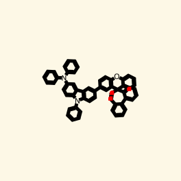 c1ccc(N(c2ccccc2)c2ccc3c(c2)c2cc(-c4ccc5c(c4)C4(c6ccccc6O5)c5ccccc5-c5ccccc5-c5ccccc54)ccc2n3-c2ccccc2)cc1